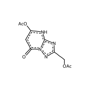 CC(=O)OCc1nc2[nH]c(OC(C)=O)cc(=O)n2n1